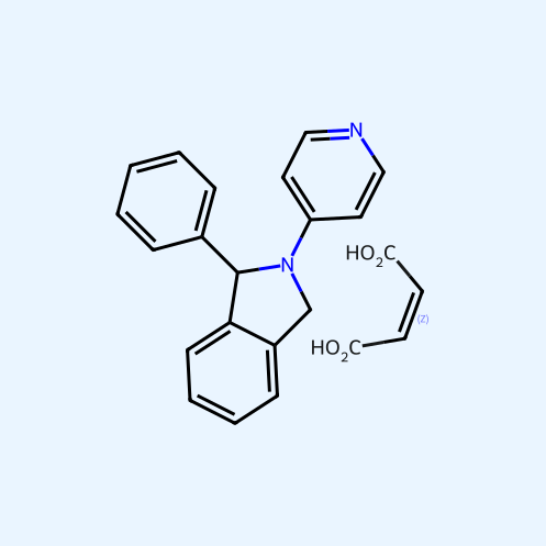 O=C(O)/C=C\C(=O)O.c1ccc(C2c3ccccc3CN2c2ccncc2)cc1